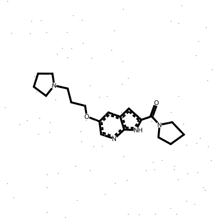 O=C(c1cc2cc(OCCCN3CCCC3)cnc2[nH]1)N1CCCC1